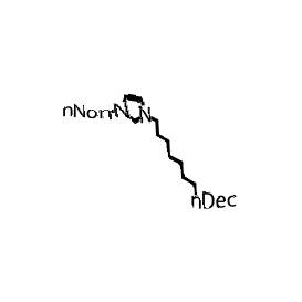 CCCCCCCCCCCCCCCCCN1C=CN(CCCCCCCCC)C1